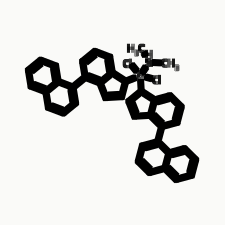 C[SiH](C)[Zr]([Cl])([Cl])([CH]1C=Cc2c(-c3cccc4ccccc34)cccc21)[CH]1C=Cc2c(-c3cccc4ccccc34)cccc21